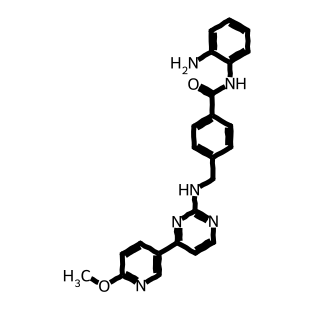 COc1ccc(-c2ccnc(NCc3ccc(C(=O)Nc4ccccc4N)cc3)n2)cn1